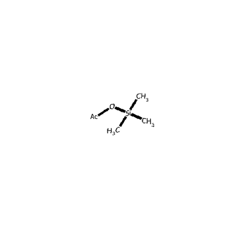 [CH2]C(=O)O[Si](C)(C)C